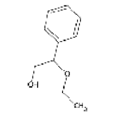 CCOC(CO)c1ccccc1